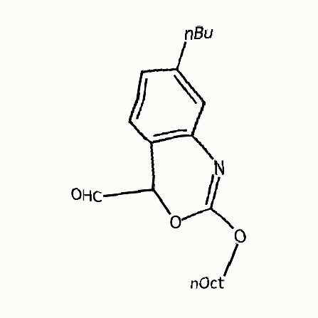 CCCCCCCCOC1=Nc2cc(CCCC)ccc2C(C=O)O1